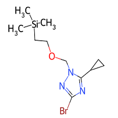 C[Si](C)(C)CCOCn1nc(Br)nc1C1CC1